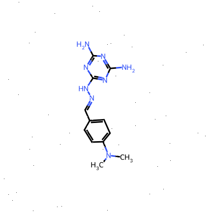 CN(C)c1ccc(C=NNc2nc(N)nc(N)n2)cc1